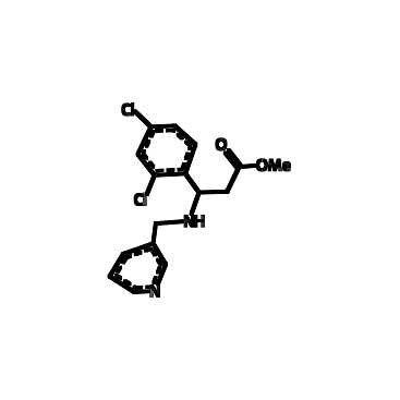 COC(=O)CC(NCc1cccnc1)c1ccc(Cl)cc1Cl